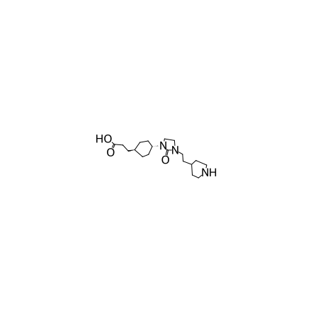 O=C(O)CC[C@H]1CC[C@H](N2CCN(CCC3CCNCC3)C2=O)CC1